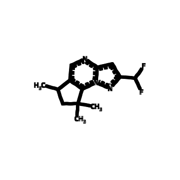 CC1CC(C)(C)c2c1cnc1cc(C(F)F)nn21